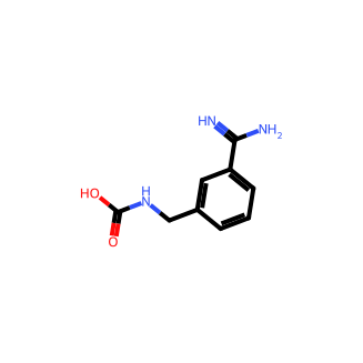 N=C(N)c1cccc(CNC(=O)O)c1